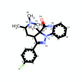 CC(CC1C(c2ccc(F)cc2)=NN(c2ccccc2)C1(C)C(N)=O)N(C)C